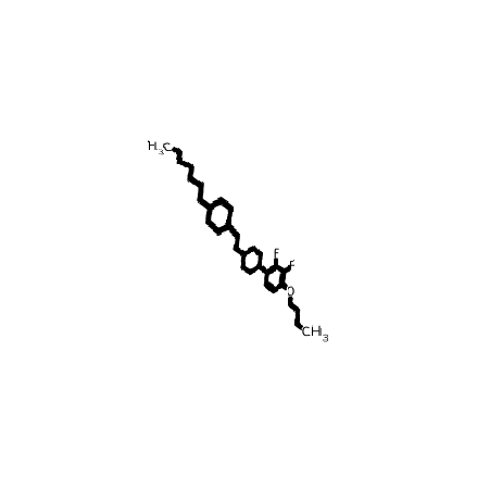 CCCCCCCC1CCC(CCC2CCC(c3ccc(OCCCC)c(F)c3F)CC2)CC1